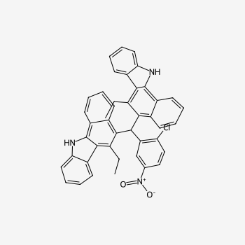 CCc1c(C(c2cc([N+](=O)[O-])ccc2Cl)c2c(CC)c3c4ccccc4[nH]c3c3ccccc23)c2ccccc2c2[nH]c3ccccc3c12